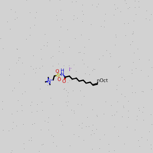 CCCCCCCC/C=C\CCCCCCCC(=O)NS(=O)(=O)CC[N+](C)(C)C.[I-]